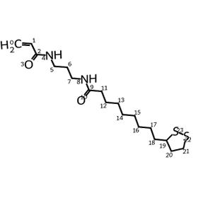 C=CC(=O)NCCCNC(=O)CCCCCCCCC1CCSS1